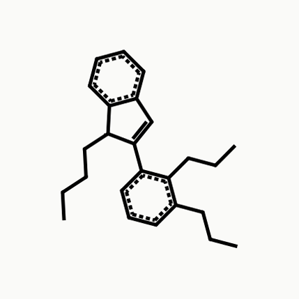 CCCC[C]1C(c2cccc(CCC)c2CCC)=Cc2ccccc21